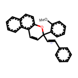 COc1ccccc1C1(/C=C/c2ccccc2)C=Cc2c(ccc3ccccc23)O1